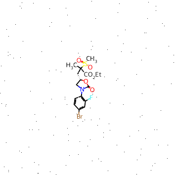 CCOC(=O)C(C)(C[C@H]1CN(c2ccc(Br)cc2F)C(=O)O1)S(C)(=O)=O